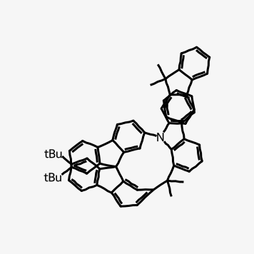 CC(C)(C)c1ccc2c(c1)C13c4cc(ccc4-2)N(c2ccc4c(c2)C(C)(C)c2ccccc2-4)c2c(-c4ccccc4)cccc2C(C)(C)c2ccc(c1c2)-c1ccc(C(C)(C)C)cc13